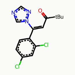 CC(C)(C)C(=O)C=C(c1ccc(Cl)cc1Cl)n1cncn1